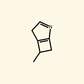 CC1CC2=C1CC=N2